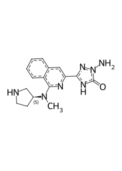 CN(c1nc(-c2nn(N)c(=O)[nH]2)cc2ccccc12)[C@H]1CCNC1